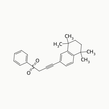 CC1(C)CCC(C)(C)c2cc(C#CCS(=O)(=O)c3ccccc3)ccc21